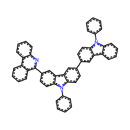 c1ccc(-n2c3ccccc3c3cc(-c4ccc5c(c4)c4cc(-c6nc7ccccc7c7ccccc67)ccc4n5-c4ccccc4)ccc32)cc1